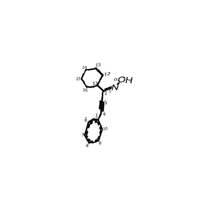 O/N=C(/C#Cc1ccccc1)C1CCCCC1